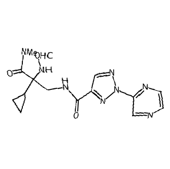 CNC(=O)C(CNC(=O)c1cnn(-c2cnccn2)n1)(NC=O)C1CC1